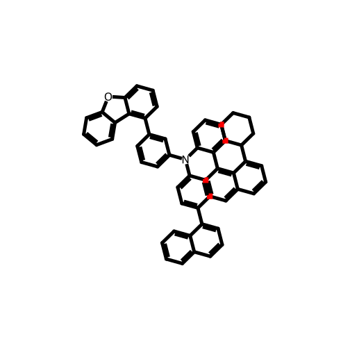 c1cc(-c2cccc3oc4ccccc4c23)cc(N(c2ccc(-c3cccc4ccccc34)cc2)c2ccccc2-c2cccc3cccc(C4CCCCC4)c23)c1